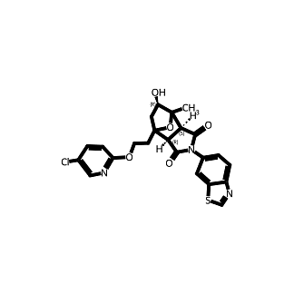 CC12OC(CCOc3ccc(Cl)cn3)(C[C@H]1O)[C@@H]1C(=O)N(c3ccc4ncsc4c3)C(=O)[C@@H]12